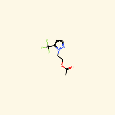 CC(=O)OCCn1nccc1C(F)(F)F